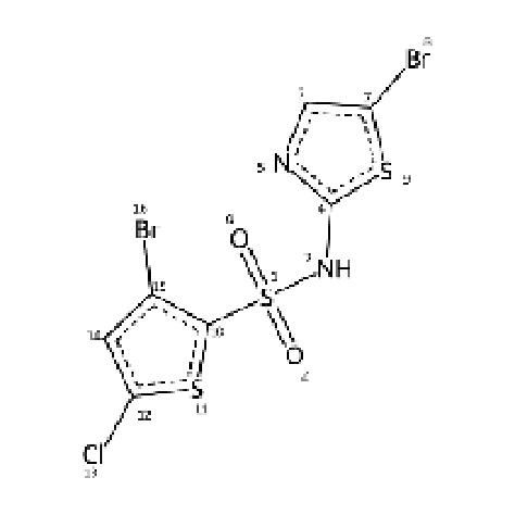 O=S(=O)(Nc1ncc(Br)s1)c1sc(Cl)cc1Br